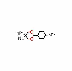 CCCC1CCC(C2OCC(C#N)(CCC)CO2)CC1